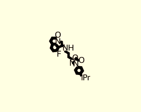 CC(C)c1ccc(-n2nc(CCCN[C@@H]3Cn4c(=O)ccc5ccc(F)c3c54)oc2=O)cc1